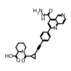 NNC(=O)c1cc(-c2ccc(C#CC3CC3C(=O)N3CCCCC3C(=O)O)cc2)nc2ccncc12